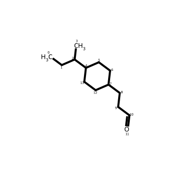 CCC(C)C1CCC(CCC=O)CC1